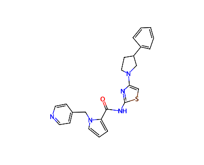 O=C(Nc1nc(N2CCC(c3ccccc3)C2)cs1)c1cccn1Cc1ccncc1